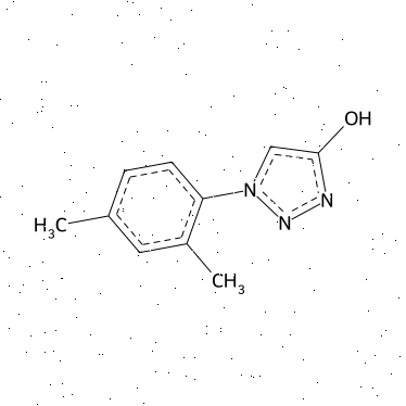 Cc1ccc(-n2cc(O)nn2)c(C)c1